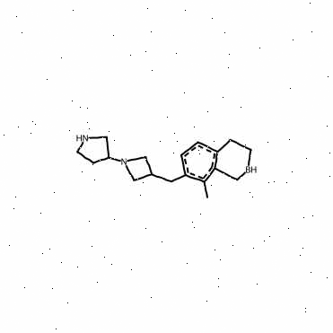 Cc1c(CC2CN(C3CCNC3)C2)ccc2c1CBCC2